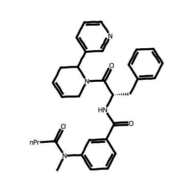 CCCC(=O)N(C)c1cccc(C(=O)N[C@@H](Cc2ccccc2)C(=O)N2CC=CCC2c2cccnc2)c1